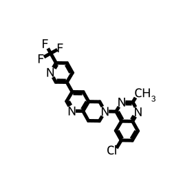 Cc1nc(N2CCc3ncc(-c4ccc(C(F)(F)F)nc4)cc3C2)c2cc(Cl)ccc2n1